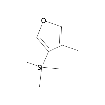 Cc1cocc1[Si](C)(C)C